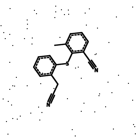 Cc1cccc(C#N)c1Sc1ccccc1CC#N